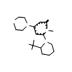 C[C@@H]1COCCN1c1cc(N2CCCCC2C(F)(F)F)n(C)c(=O)c1